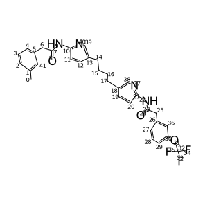 Cc1cccc(CC(=O)Nc2ccc(CCCCc3ccc(NC(=O)Cc4cccc(OC(F)(F)F)c4)nc3)cn2)c1